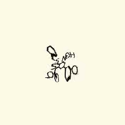 CCOC(=O)c1sc(SCc2ccccc2)c2c1CC(c1cccc(OC)c1)C/C2=N\O